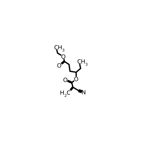 C=C(C#N)C(=O)OC(CC)CCC(=O)OCC